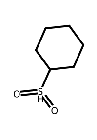 O=[SH](=O)[C]1CCCCC1